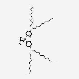 CCCCCCCCCCCCCCCCCCN(CCCCCCCCCCCCCCCCCC)c1ccc2c(c1)Oc1cc(N(CCCCCCCCCCCCCCCCCC)CCCCCCCCCCCCCCCCCC)ccc1C21OC(=O)c2ccccc21